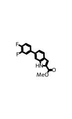 COC(=O)c1cc2ccc(-c3ccc(F)c(F)c3)cc2[nH]1